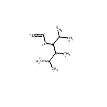 CC(C)C(C)C(O[C]=O)C(C)C